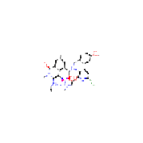 CCn1ncc2c3c(C(CO)N(Cc4ccc(OC)cc4)c4ccc(Cl)nc4-c4cnn(C)c4)cc(C)cc3c(=O)n(C)c21